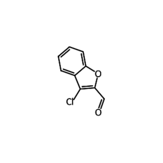 O=Cc1oc2ccccc2c1Cl